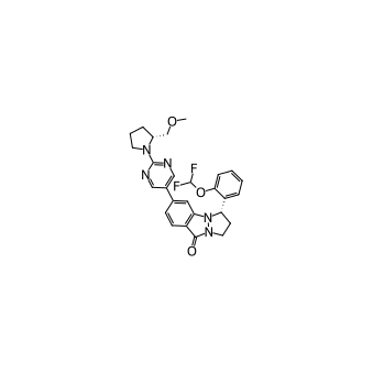 COC[C@H]1CCCN1c1ncc(-c2ccc3c(=O)n4n(c3c2)[C@H](c2ccccc2OC(F)F)CC4)cn1